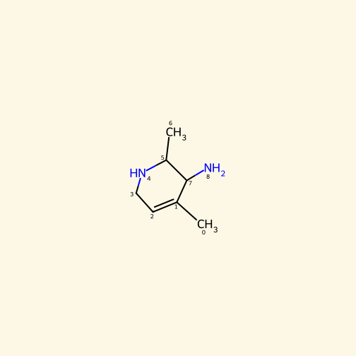 CC1=CCNC(C)C1N